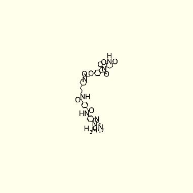 C[C@H]1CCCN1Cc1nc2cc(NC(=O)c3ccc(C(=O)NCCCC4CCN(C(=O)COc5ccc6c(c5)C(=O)N(C5CCC(=O)NC5=O)C6=O)CC4)cc3)ccc2[nH]1